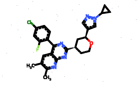 Cc1cc2c(-c3ccc(Cl)cc3F)nc([C@H]3CCO[C@H](c4cnn(C5CC5)c4)C3)nc2nc1C